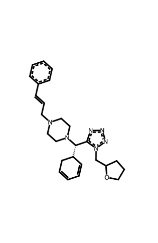 C1=CCC([C@@H](c2nnnn2CC2CCCO2)N2CCN(C/C=C/c3ccccc3)CC2)C=C1